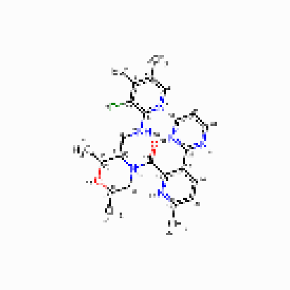 CCc1c(C(F)(F)F)cnc(NC[C@@H]2[C@H](C)O[C@H](C)CN2C(=O)c2nc(C)ccc2-c2ncccn2)c1F